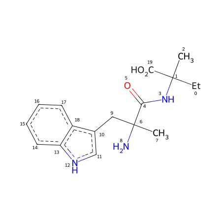 CCC(C)(NC(=O)C(C)(N)Cc1c[nH]c2ccccc12)C(=O)O